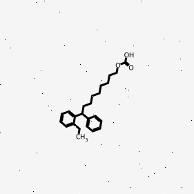 CCc1ccccc1C(CCCCCCCCOC(=O)O)c1ccccc1